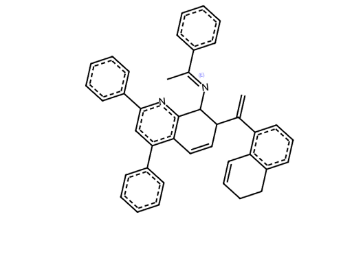 C=C(c1cccc2c1C=CCC2)C1C=Cc2c(-c3ccccc3)cc(-c3ccccc3)nc2C1/N=C(\C)c1ccccc1